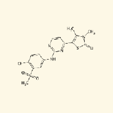 Cc1c(-c2ccnc(Nc3ccc(Cl)c(S(C)(=O)=O)c3)n2)sc(=O)n1C